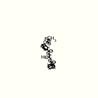 CC(F)(F)C(=O)OC1C2CC3CC1CC(C(=O)OCC(O)COC(=O)C14CC5CC(CC(C5)C1)C4)(C3)C2